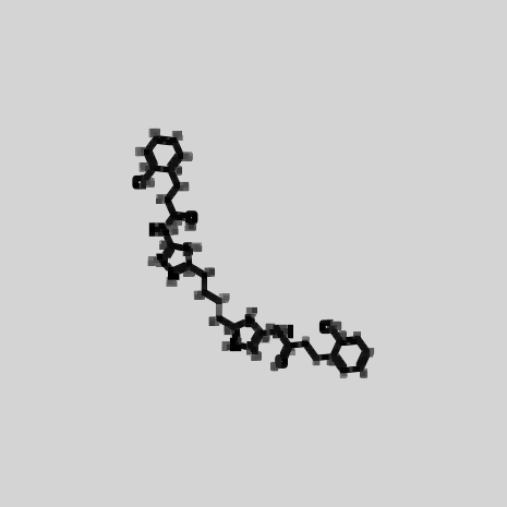 O=C(CCc1ccccc1Cl)Nc1nnc(CCCCc2nnc(NC(=O)CCc3ccccc3Cl)s2)s1